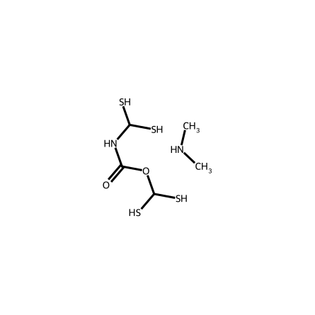 CNC.O=C(NC(S)S)OC(S)S